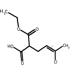 CCOC(=O)C(C/C=C(/C)Cl)C(=O)O